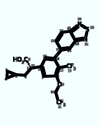 O=C(O)[C@@H](CC1CC1)c1cc(OCC(F)(F)F)c(C(F)(F)F)c(-c2ccc3nsnc3c2)c1